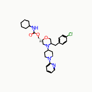 O=C(NC1CCCCC1)OC[C@H]1CN(C2CCN(c3ccccn3)CC2)C(Cc2ccc(Cl)cc2)CO1